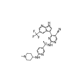 C[C@@H](Nc1ncc(C#N)c(-c2c[nH]c3ncc(C(F)(F)F)cc23)n1)c1ccc(NC2CCN(C)CC2)nc1